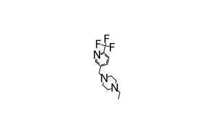 CCN1CCN(Cc2ccc(C(F)(F)F)nc2)CC1